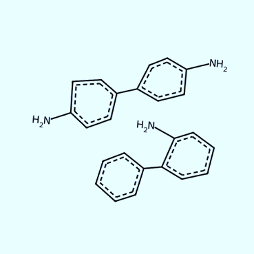 Nc1ccc(-c2ccc(N)cc2)cc1.Nc1ccccc1-c1ccccc1